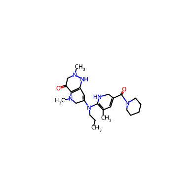 CCCN(C1=CC2=C(C(=O)CN(C)N2)N(C)C1)C1=C(C)C=C(C(=O)N2CCCCC2)CN1